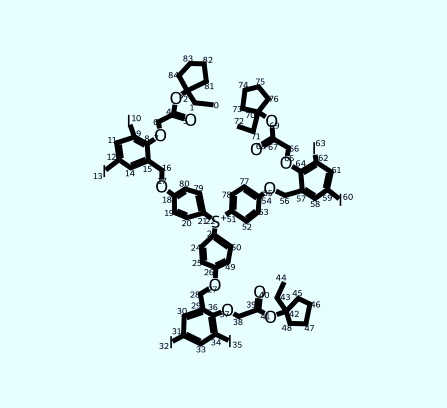 CCC1(OC(=O)COc2c(I)cc(I)cc2COc2ccc([S+](c3ccc(OCc4cc(I)cc(I)c4OCC(=O)OC4(CC)CCCC4)cc3)c3ccc(OCc4cc(I)cc(I)c4OCC(=O)OC4(CC)CCCC4)cc3)cc2)CCCC1